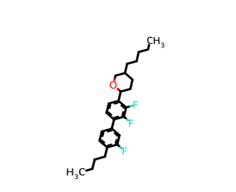 CCCCCC1CCC(c2ccc(-c3ccc(CCCC)c(F)c3)c(F)c2F)OC1